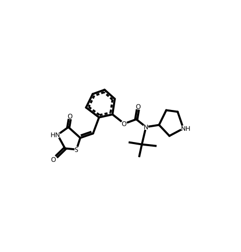 CC(C)(C)N(C(=O)Oc1ccccc1C=C1SC(=O)NC1=O)C1CCNC1